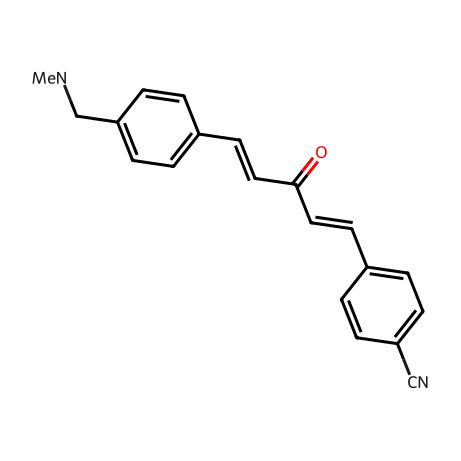 CNCc1ccc(C=CC(=O)C=Cc2ccc(C#N)cc2)cc1